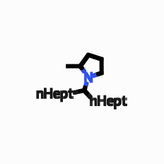 CCCCCCCC(CCCCCCC)N1CCCC1C